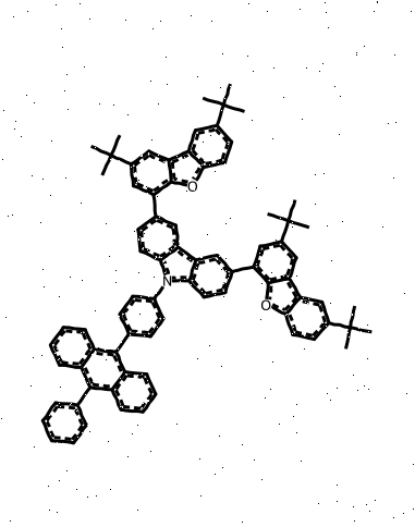 CC(C)(C)c1ccc2oc3c(-c4ccc5c(c4)c4cc(-c6cc(C(C)(C)C)cc7c6oc6ccc(C(C)(C)C)cc67)ccc4n5-c4ccc(-c5c6ccccc6c(-c6ccccc6)c6ccccc56)cc4)cc(C(C)(C)C)cc3c2c1